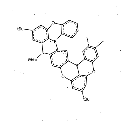 CSN1c2cc3c(cc2B2c4ccccc4Oc4cc(C(C)(C)C)cc1c42)B1c2cc(C)c(C)cc2Oc2cc(C(C)(C)C)cc(c21)O3